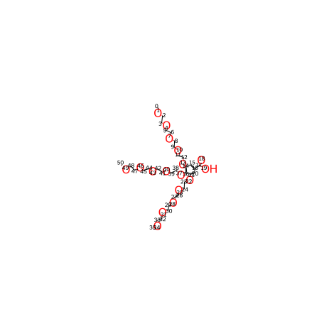 COCCOCCOCCOCCOc1cc(C(=O)O)cc(OCCOCCOCCOCCOC)c1OCCOCCOCCOCCOC